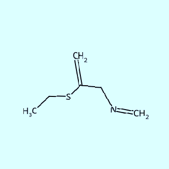 C=NCC(=C)SCC